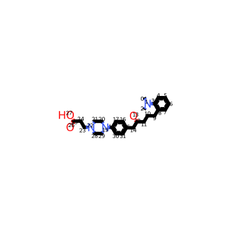 CN(C)c1ccccc1CCCC(=O)Cc1ccc(N2CCN(CCC(=O)O)CC2)cc1